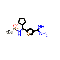 CC(C)(C)[S@+]([O-])N[C@H](c1cc(C(=N)N)cs1)C1CCCC1